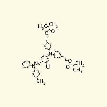 C=C(C)C(=O)OCCc1ccc(N(c2ccc(CCOC(=O)C(=C)C)cc2)c2ccc(C=NN(c3ccccc3)c3ccc(C)cc3)c(Cl)c2)cc1